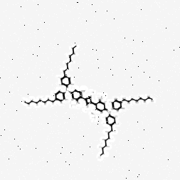 CCCCCCCCc1ccc(N(c2ccc(CCCCCCCC)cc2)c2cc(O)c(C3=C([O-])C(=C4C(O)=CC(=[N+](c5ccc(CCCCCCCC)cc5)c5ccc(CCCCCCCC)cc5)C=C4O)C3=O)c(O)c2)cc1